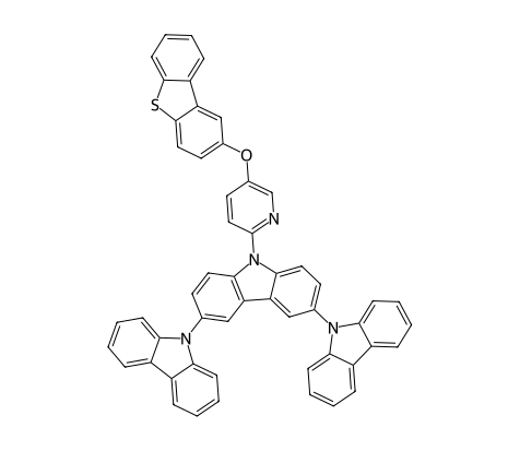 c1ccc2c(c1)sc1ccc(Oc3ccc(-n4c5ccc(-n6c7ccccc7c7ccccc76)cc5c5cc(-n6c7ccccc7c7ccccc76)ccc54)nc3)cc12